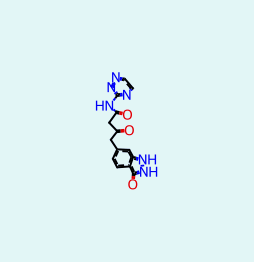 O=C(CC(=O)Nc1nccnn1)Cc1ccc2c(=O)[nH][nH]c2c1